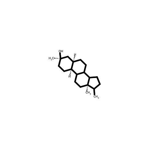 CC1CCC2C3CC[C@@H]4C[C@](C)(O)CC[C@@H]4C3CC[C@]12C